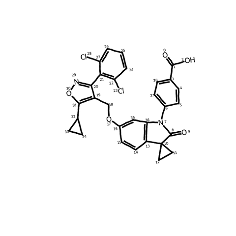 O=C(O)c1ccc(N2C(=O)C3(CC3)c3ccc(OCc4c(-c5c(Cl)cccc5Cl)noc4C4CC4)cc32)cc1